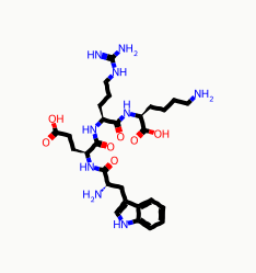 N=C(N)NCCC[C@H](NC(=O)[C@H](CCC(=O)O)NC(=O)[C@@H](N)Cc1c[nH]c2ccccc12)C(=O)N[C@@H](CCCCN)C(=O)O